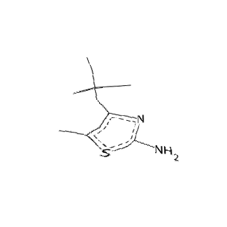 Cc1sc(N)nc1C(C)(C)C